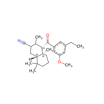 CCc1cc(OC)cc(C(=O)[C@H]2C(C)C(C#N)C[C@H]3C(C)(C)CCC[C@]23C)c1